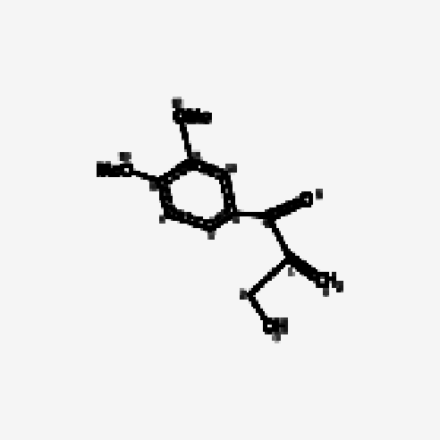 C=C(CO)C(=O)c1ccc(OC)c(OC)c1